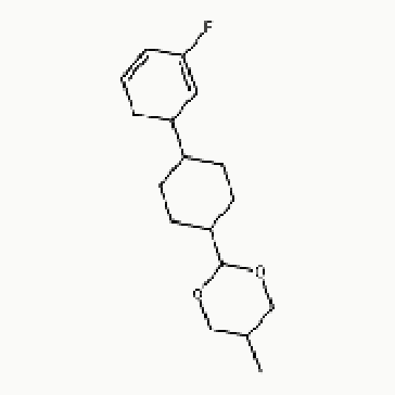 CC1COC(C2CCC(C3C=C(F)C=CC3)CC2)OC1